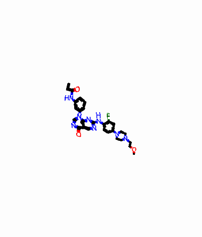 C=CC(=O)Nc1cccc(-n2cnc(=O)c3cnc(Nc4ccc(N5CCN(CCOC)CC5)cc4F)nc32)c1